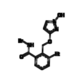 CCc1cccc(C(=O)NBr)c1COc1ccn(O)n1